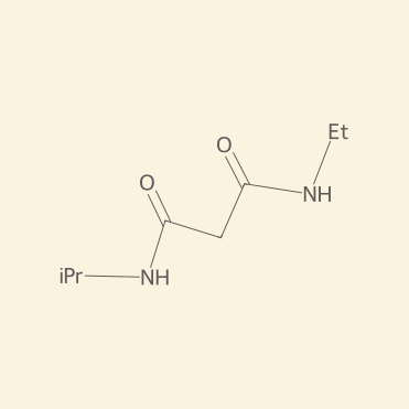 CCNC(=O)CC(=O)NC(C)C